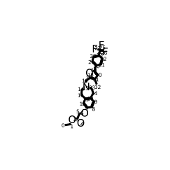 CCOC(=O)COc1ccc2c(c1)CCN(Cc1oc(-c3ccc(C(F)(F)F)cc3)cc1C)CC2